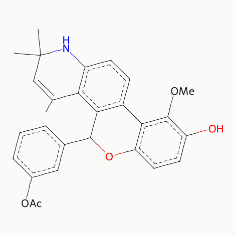 COc1c(O)ccc2c1-c1ccc3c(c1C(c1cccc(OC(C)=O)c1)O2)C(C)=CC(C)(C)N3